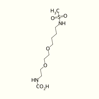 CS(=O)(=O)NCCCCOCCOCCNC(=O)O